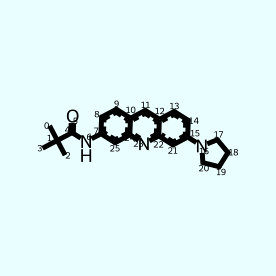 CC(C)(C)C(=O)Nc1ccc2cc3ccc(N4CCCC4)cc3nc2c1